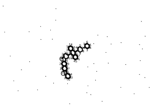 C1=C(c2ccccc2)CCC(c2c3ccccc3c(C3=CC=C4Oc5cc6cc7oc8ccccc8c7cc6cc5C4C3)c3ccccc23)=C1